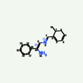 CC1CC=CC=C1/C=N/C=C(\N)c1ccccc1